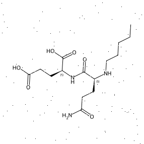 CCCCCN[C@@H](CCC(N)=O)C(=O)N[C@@H](CCC(=O)O)C(=O)O